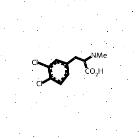 CNC(Cc1ccc(Cl)c(Cl)c1)C(=O)O